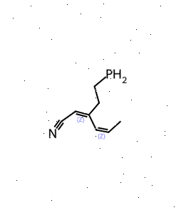 C/C=C\C(=C/C#N)CCP